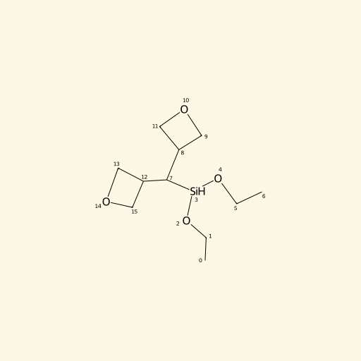 CCO[SiH](OCC)C(C1COC1)C1COC1